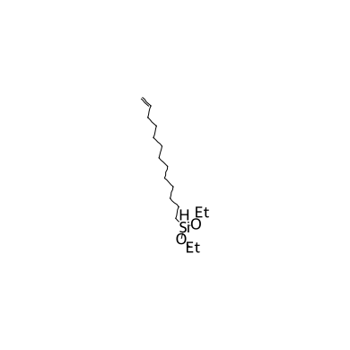 C=CCCCCCCCCCCC[SiH](OCC)OCC